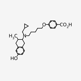 CC1Cc2cc(O)ccc2CC1N(CCCCCOc1ccc(C(=O)O)cc1)CC1CC1